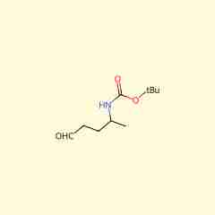 CC(CCC=O)NC(=O)OC(C)(C)C